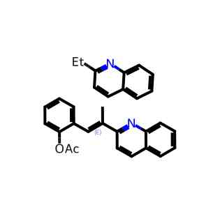 CC(=O)Oc1ccccc1/C=C(\C)c1ccc2ccccc2n1.CCc1ccc2ccccc2n1